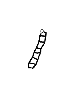 C1CC2C1C1C2C2C1C1C3C4COC4C3C21